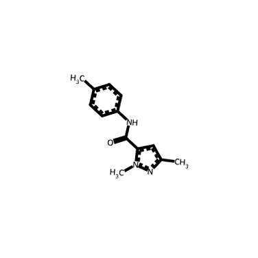 Cc1ccc(NC(=O)c2cc(C)nn2C)cc1